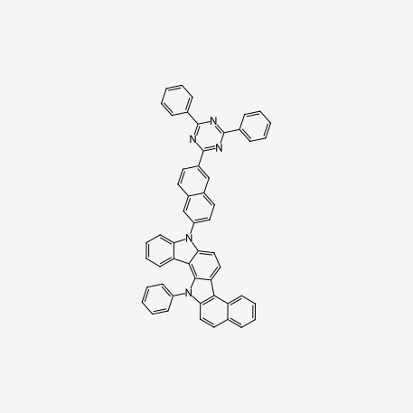 c1ccc(-c2nc(-c3ccccc3)nc(-c3ccc4cc(-n5c6ccccc6c6c5ccc5c7c8ccccc8ccc7n(-c7ccccc7)c56)ccc4c3)n2)cc1